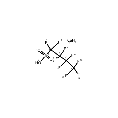 O=S(=O)(O)C(F)(F)C(F)(F)C(F)(F)C(F)(F)F.[CaH2]